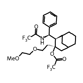 COCCOCC[C@@]1(OC(=O)C(F)(F)F)CC2CCCC(C2)[C@@H]1[C@@H](NC(=O)C(F)(F)F)c1ccccc1